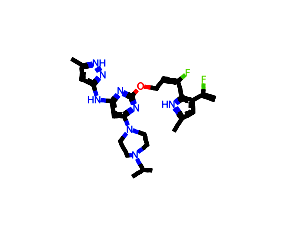 C=C(F)c1cc(C)[nH]c1/C(F)=C\COc1nc(Nc2cc(C)[nH]n2)cc(N2CCN(C(C)C)CC2)n1